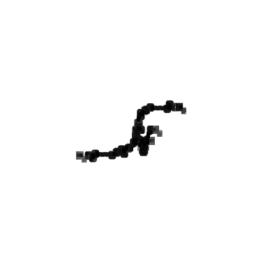 C=CCCCNN(/N=C/c1cc(OC(=O)C2CCC(COOc3ccc(OCCCCCCOC(=O)C=C)cc3)CC2)ccc1OOCC1CCC(C(=O)Oc2ccc(OCCCCCCOC(=O)C=C)cc2)CC1)c1nc2ccccc2s1